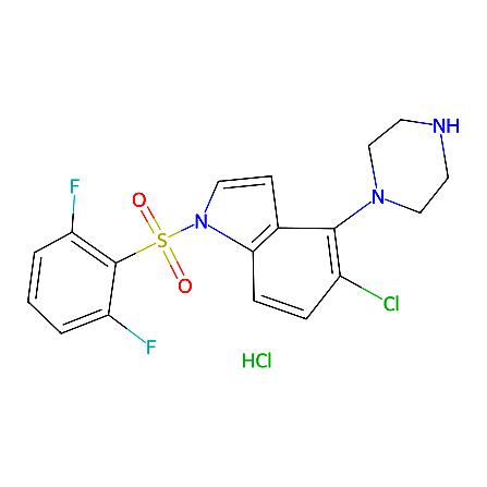 Cl.O=S(=O)(c1c(F)cccc1F)n1ccc2c(N3CCNCC3)c(Cl)ccc21